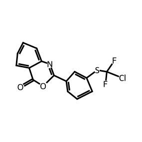 O=c1oc(-c2cccc(SC(F)(F)Cl)c2)nc2ccccc12